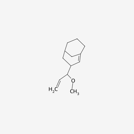 C=CC(OC)C1C=C2CCCC(C2)C1